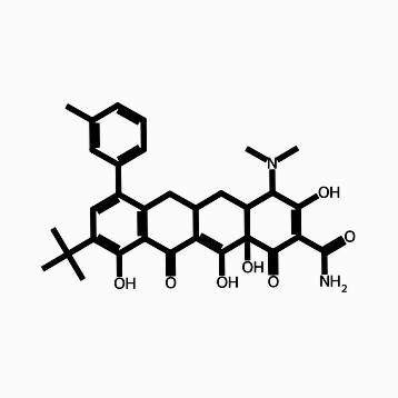 Cc1cccc(-c2cc(C(C)(C)C)c(O)c3c2CC2CC4C(N(C)C)C(O)=C(C(N)=O)C(=O)C4(O)C(O)=C2C3=O)c1